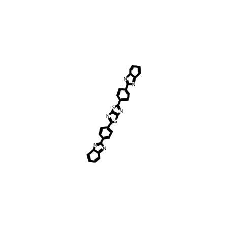 C1=CC2=NC(c3ccc(-c4nc5sc(-c6ccc(C7=NC8C=CC=CC8=N7)cc6)nc5s4)cc3)=NC2C=C1